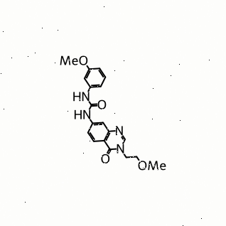 COCCn1cnc2cc(NC(=O)Nc3cccc(OC)c3)ccc2c1=O